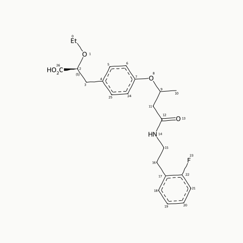 CCO[C@@H](Cc1ccc(OC(C)CC(=O)NCCc2ccccc2F)cc1)C(=O)O